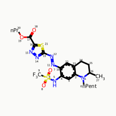 CCCCCN1c2cc(NS(=O)(=O)C(F)(F)F)c(N=Nc3nnc(C(=O)OCCC)s3)cc2CCC1C